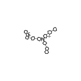 CC1(C)c2cc(-c3ccccc3)ccc2-c2ccc(N(c3ccc(-c4ccc(-c5cccc6c5sc5ccccc56)cc4)cc3)c3ccc(-c4ccc5ccccc5c4)cc3)cc21